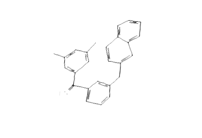 Cc1cc(C)cc(C(=N)c2cccc(Cc3ccc4ccccc4c3)c2)c1